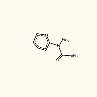 CCCCC(=O)N(N)c1ccccn1